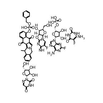 CC1c2ccccc2Cn2cc3c(c21)C(=O)c1cccc(OP(=O)(O)OCc2ccccc2)c1C3=O.N.N=c1nc2n(cc1F)[C@@H]1O[C@H](CO)[C@@H](O)[C@@H]1O2.Nc1nc(F)nc2c1ncn2[C@@H]1O[C@H](COP(=O)(O)O)[C@@H](O)[C@@H]1O.O=c1[nH]cc(F)c(=O)[nH]1.O=c1cnn([C@@H]2O[C@H](CO)[C@@H](O)[C@H]2O)c(=O)[nH]1